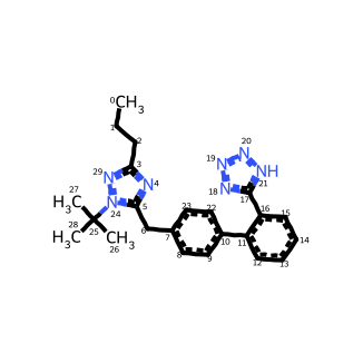 CCCc1nc(Cc2ccc(-c3ccccc3-c3nnn[nH]3)cc2)n(C(C)(C)C)n1